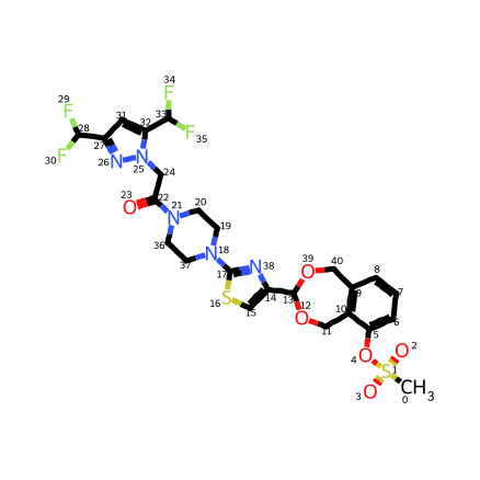 CS(=O)(=O)Oc1cccc2c1COC(c1csc(N3CCN(C(=O)Cn4nc(C(F)F)cc4C(F)F)CC3)n1)OC2